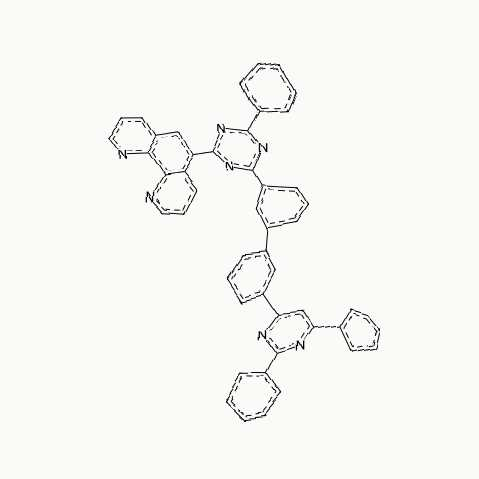 c1ccc(-c2cc(-c3cccc(-c4cccc(-c5nc(-c6ccccc6)nc(-c6cc7cccnc7c7ncccc67)n5)c4)c3)nc(-c3ccccc3)n2)cc1